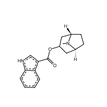 CN1[C@H]2CC[C@H]1CC(OC(=O)c1c[nH]c3ccccc13)C2